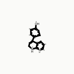 Oc1ccc(C2=CCNc3ncccc32)cc1